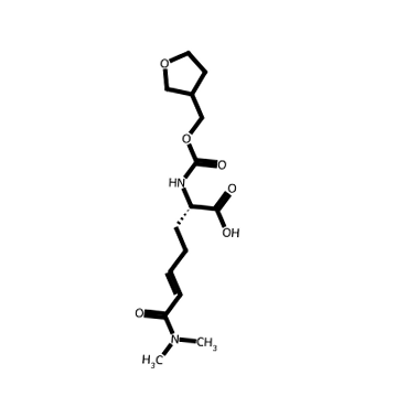 CN(C)C(=O)/C=C/CC[C@H](NC(=O)OCC1CCOC1)C(=O)O